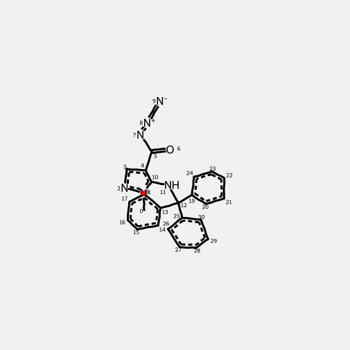 Cn1ncc(C(=O)N=[N+]=[N-])c1NC(c1ccccc1)(c1ccccc1)c1ccccc1